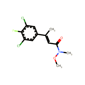 CON(C)C(=O)/C=C(\C)c1cc(Cl)c(F)c(Cl)c1